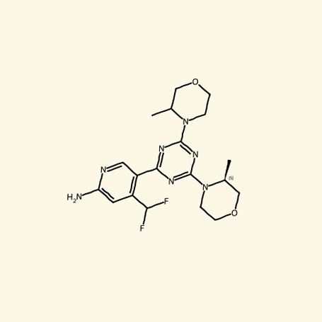 CC1COCCN1c1nc(-c2cnc(N)cc2C(F)F)nc(N2CCOC[C@@H]2C)n1